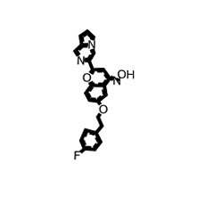 O/N=c1\cc(-c2cn3cccc3cn2)oc2ccc(OCCc3ccc(F)cc3)cc12